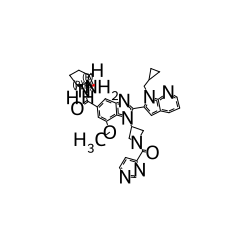 COc1cc(C(=O)N2C[C@H]3CC[C@@H]2[C@@H]3N)cc2nc(-c3cc4cccnc4n3CC3CC3)n(C3CN(C(=O)c4ccncn4)C3)c12